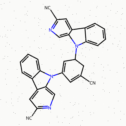 N#CC1=CC(n2c3ccccc3c3cc(C#N)ncc32)=CC(n2c3ccccc3c3cc(C#N)ncc32)C1